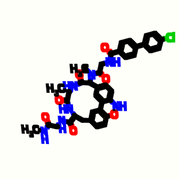 CNC(=O)CNC(=O)C1Cc2ccc3c(c2)-c2cc(ccc2NO3)C(N(C)C(=O)CNC(=O)c2ccc(-c3ccc(Cl)cc3)cc2)C(=O)N[C@@H](C)C(=O)N1